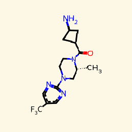 C[C@@H]1CN(c2ncc(C(F)(F)F)cn2)CCN1C(=O)C1CC(N)C1